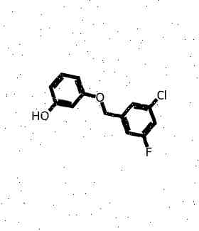 Oc1cccc(OCc2cc(F)cc(Cl)c2)c1